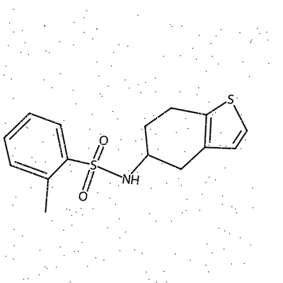 Cc1ccccc1S(=O)(=O)NC1CCc2sccc2C1